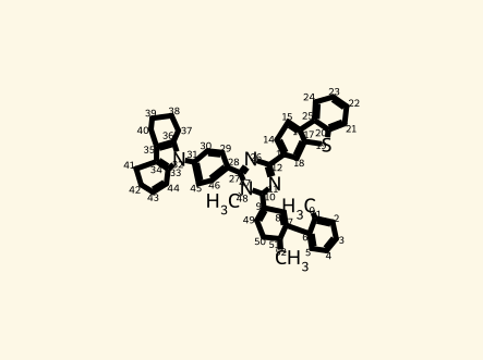 Cc1ccccc1C1=CC(C2N=C(c3ccc4c(c3)sc3ccccc34)N=C(c3ccc(-n4c5c(c6c4CCCC6)CCC=C5)cc3)N2C)=CCC1C